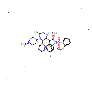 CCOc1ncccc1C1C(C2C(=O)N(S(=O)(=O)c3ccccc3OC)c3cc(F)ccc32)N(C(=O)O)CC(Cl)N1C1CCN(C)CC1